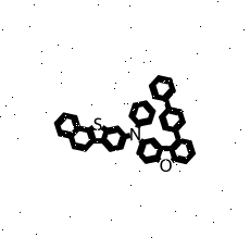 c1ccc(-c2ccc(-c3cccc4oc5ccc(N(c6ccccc6)c6ccc7c(c6)sc6c8ccccc8ccc76)cc5c34)cc2)cc1